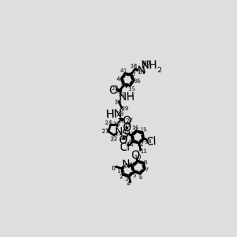 Cc1cc(C)c2cccc(OCc3c(Cl)ccc(S(=O)(=O)N4CCC[C@H]4C(=O)NCCNC(=O)c4ccc(C=NN)cc4)c3Cl)c2n1